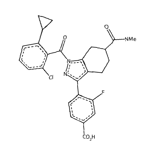 CNC(=O)C1CCc2c(-c3ccc(C(=O)O)cc3F)nn(C(=O)c3c(Cl)cccc3C3CC3)c2C1